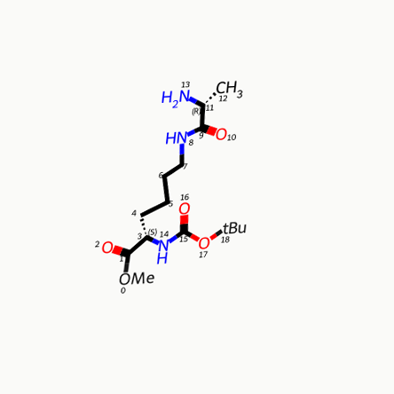 COC(=O)[C@H](CCCCNC(=O)[C@@H](C)N)NC(=O)OC(C)(C)C